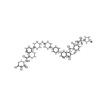 O=C1CC[C@H](NC(=O)N2CCCc3c(N4CCC(CN5CCN(c6ccc(-c7cnc8[nH]cc(C(=O)c9c(F)ccc(NS(=O)(=O)N%10CC[C@@H](F)C%10)c9F)c8c7)cc6)CC5)CC4)ccnc32)C(=O)N1